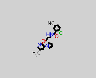 N#Cc1ccc(Cl)c(C(=O)NCCCOc2ncc(C(F)(F)F)cc2-n2cccc2)c1